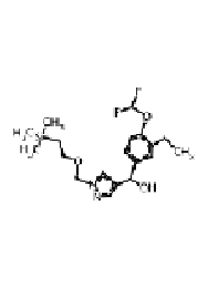 CCc1cc(C(O)c2cnn(COCC[Si](C)(C)C)c2)ccc1OC(F)F